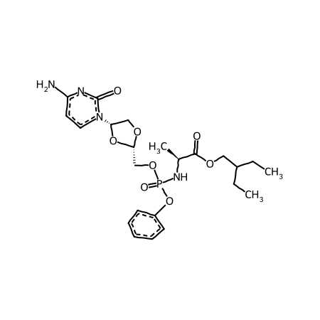 CCC(CC)COC(=O)[C@H](C)NP(=O)(OC[C@H]1OC[C@@H](n2ccc(N)nc2=O)O1)Oc1ccccc1